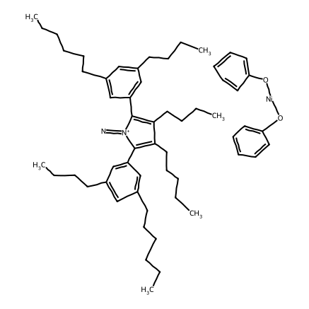 CCCCCCc1cc(CCCC)cc(C2=C(CCCC)C(CCCCC)=C(c3cc(CCCC)cc(CCCCCC)c3)[N+]2=[N-])c1.c1ccc([O][Ni][O]c2ccccc2)cc1